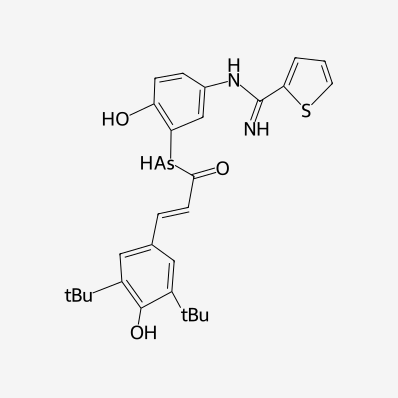 CC(C)(C)c1cc(/C=C/C(=O)[AsH]c2cc(NC(=N)c3cccs3)ccc2O)cc(C(C)(C)C)c1O